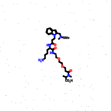 CNN(C)Cc1cc2ccccc2n1CCC(=O)NC(CCCCN)C(=O)NCCOCCOCCC(=O)N(C)C(C)C(=O)O